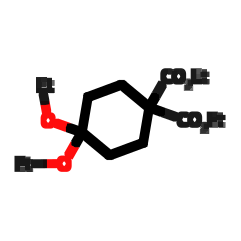 CCOC(=O)C1(C(=O)OCC)CCC(OCC)(OCC)CC1